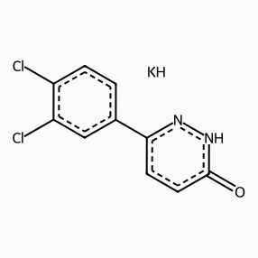 O=c1ccc(-c2ccc(Cl)c(Cl)c2)n[nH]1.[KH]